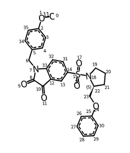 [11CH3]Oc1ccc(CN2C(=O)C(=O)c3cc(S(=O)(=O)N4CCC[C@H]4COc4ccccc4)ccc32)cc1